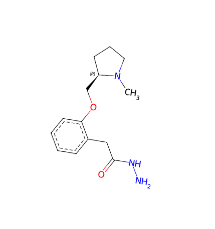 CN1CCC[C@@H]1COc1ccccc1CC(=O)NN